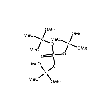 CO[Si](OC)(OC)OP(=O)(O[Si](OC)(OC)OC)O[Si](OC)(OC)OC